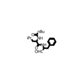 CCCCC(=O)NC(CC(C)C)C(=O)NC(C=O)Cc1ccccc1